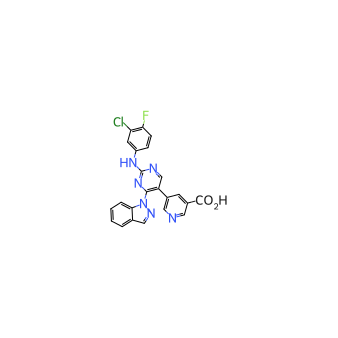 O=C(O)c1cncc(-c2cnc(Nc3ccc(F)c(Cl)c3)nc2-n2ncc3ccccc32)c1